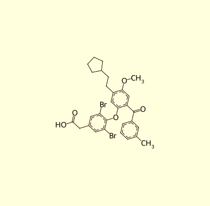 COc1cc(C(=O)c2cccc(C)c2)c(Oc2c(Br)cc(CC(=O)O)cc2Br)cc1CCC1CCCC1